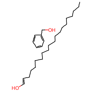 CCCCCCCCCCCCCCCCCCC=CO.OCc1ccccc1